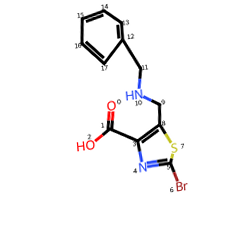 O=C(O)c1nc(Br)sc1CNCc1ccccc1